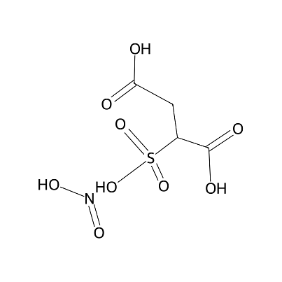 O=C(O)CC(C(=O)O)S(=O)(=O)O.O=NO